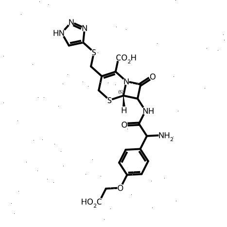 NC(C(=O)NC1C(=O)N2C(C(=O)O)=C(CSc3c[nH]nn3)CS[C@@H]12)c1ccc(OCC(=O)O)cc1